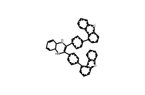 C1=CC2NC(c3ccc(-c4cccc5oc6ccccc6c45)cc3)=C(c3ccc(-c4cccc5oc6ccccc6c45)cc3)NC2C=C1